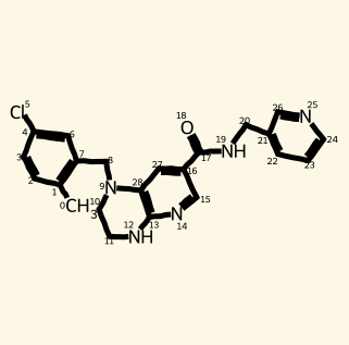 Cc1ccc(Cl)cc1CN1CCNc2ncc(C(=O)NCc3cccnc3)cc21